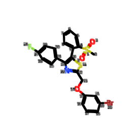 CS(=O)(=O)c1ccccc1-c1sc(COc2cccc(Br)c2)nc1-c1ccc(F)cc1